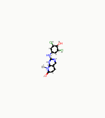 CCn1c(=O)ccc2cnc(Nc3cc(Cl)c(O)c(Cl)c3)nc21